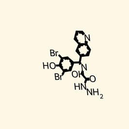 NNC(=O)CN=C(c1ccc2ncccc2c1)c1cc(Br)c(O)c(Br)c1O